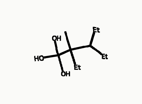 CCC(CC)C(C)(CC)C(O)(O)O